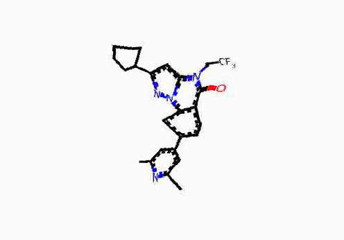 Cc1cc(-c2ccc3c(=O)n(CC(F)(F)F)c4cc(C5CCCC5)nn4c3c2)cc(C)n1